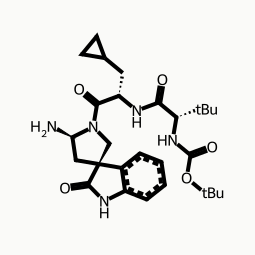 CC(C)(C)OC(=O)N[C@H](C(=O)N[C@@H](CC1CC1)C(=O)N1C[C@]2(C[C@H]1N)C(=O)Nc1ccccc12)C(C)(C)C